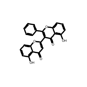 O=c1cc(-c2c(-c3ccccc3)oc3cccc(O)c3c2=O)oc2cccc(O)c12